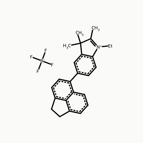 CC[N+]1=C(C)C(C)(C)c2cc(-c3ccc4c5c(cccc35)CC4)ccc21.F[B-](F)(F)F